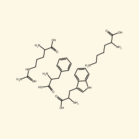 N=C(N)NCCCC(N)C(=O)O.NC(Cc1c[nH]c2ccccc12)C(=O)O.NC(Cc1ccccc1)C(=O)O.NCCCCC(N)C(=O)O